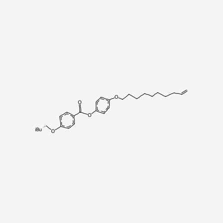 C=CCCCCCCCCOc1ccc(OC(=O)c2ccc(OC[C@@H](C)CC)cc2)cc1